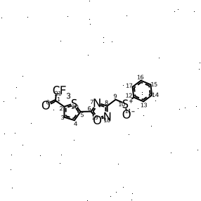 O=C(c1ccc(-c2nc(C[S+]([O-])c3ccccc3)no2)s1)C(F)(F)F